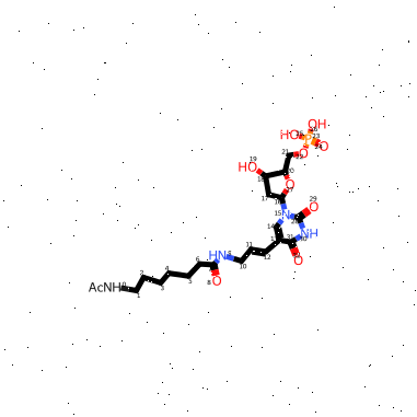 CC(=O)NCCCCCCC(=O)NC/C=C/c1cn(C2CC(O)C(COP(=O)(O)O)O2)c(=O)[nH]c1=O